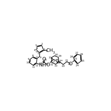 Cc1ccsc1Cc1ccccc1NC(=O)OC1C[N+]2(CCOc3ccccc3)CCC1CC2